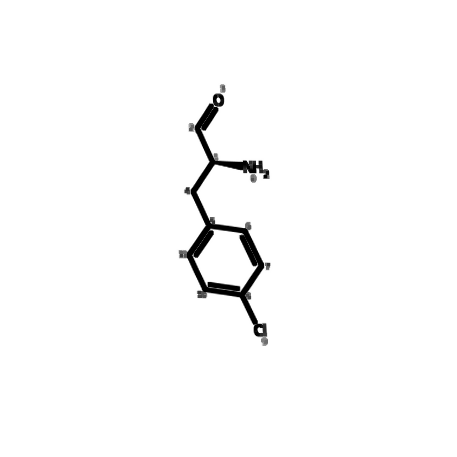 N[C@H]([C]=O)Cc1ccc(Cl)cc1